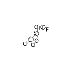 O=C(c1cc2c(s1)-c1ccc(Cl)c(Cl)c1OC2)N1CCC(F)C1